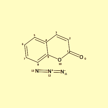 O=c1ccc2ccccc2o1.[N-]=[N+]=[N-]